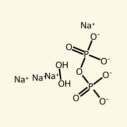 O=P([O-])([O-])OP(=O)([O-])[O-].OO.[Na+].[Na+].[Na+].[Na+]